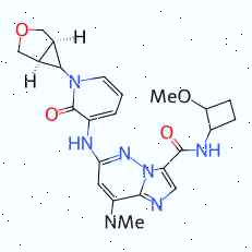 CNc1cc(Nc2cccn(C3[C@H]4COC[C@@H]34)c2=O)nn2c(C(=O)NC3CCC3OC)cnc12